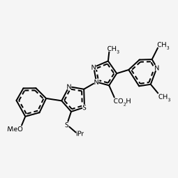 COc1cccc(-c2nc(-n3nc(C)c(-c4cc(C)nc(C)c4)c3C(=O)O)sc2SC(C)C)c1